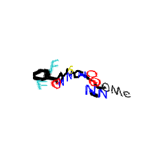 COc1nccnc1OCC(=O)N1CCC(c2nc(C3=NOC(c4c(F)cccc4F)C3)cs2)CC1